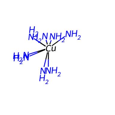 [NH2][Cu]([NH2])([NH2])([NH2])([NH2])([NH2])([NH2])[NH2]